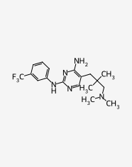 CN(C)CC(C)(C)Cc1cnc(Nc2cccc(C(F)(F)F)c2)nc1N